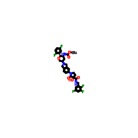 CC(C)(C)OC(=O)N[C@H]1CC(N2Cc3ccc(N4CCC(O)(C(=O)NCc5cc(F)cc(F)c5F)C4=O)cc3C2)CO[C@@H]1c1cc(F)ccc1F